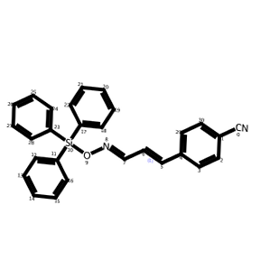 N#Cc1ccc(/C=C/C=NO[Si](c2ccccc2)(c2ccccc2)c2ccccc2)cc1